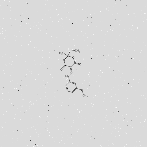 CCC1(C)OC(=O)C(=CNc2cccc(OC)c2)C(=O)O1